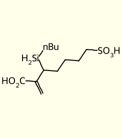 C=C(C(=O)O)C(CCCCS(=O)(=O)O)[SiH2]CCCC